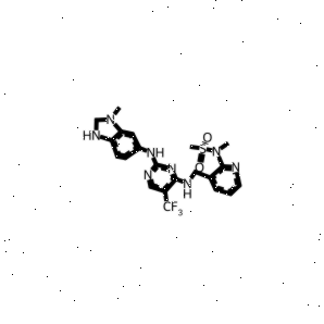 CN1CNc2ccc(Nc3ncc(C(F)(F)F)c(NCc4cccnc4N(C)S(C)(=O)=O)n3)cc21